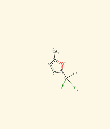 [CH2]c1ccc(C(F)(F)F)o1